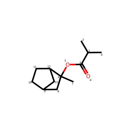 CC(C)C(=O)OC1(C)CC2CCC1C2